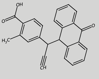 C#CC(c1ccc(C(=O)O)c(C)c1)C1c2ccccc2C(=O)c2ccccc21